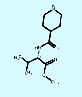 COC(=O)[C@@H](NC(=O)C1CCNCC1)C(C)C